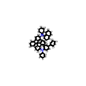 C1=CC2C(C(N(c3ccccc3)c3ccc(-c4ccccc4)cc3)=C1)c1ccccc1C21c2ccccc2-c2ccc(N(C3=c4ccccc4=CCC3)C3CC=CCC3)cc21